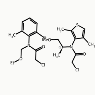 CCOCN(C(=O)CCl)c1c(C)cccc1CC.COC[C@H](C)N(C(=O)CCl)c1c(C)csc1C